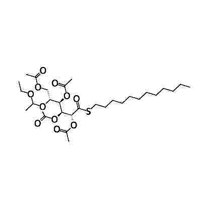 CCCCCCCCCCCCSC(=O)[C@H](OC(C)=O)[C@@H](OC(C)=O)[C@H](OC(C)=O)[C@@H](COC(C)=O)OC(C)OCC